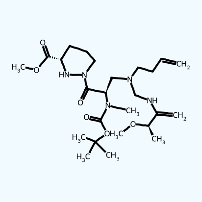 C=CCCN(CNC(=C)[C@@H](C)OC)C[C@H](C(=O)N1CCC[C@@H](C(=O)OC)N1)N(C)C(=O)OC(C)(C)C